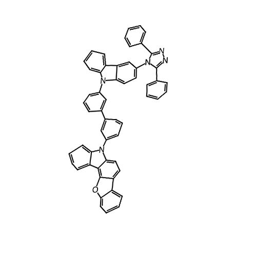 c1ccc(-c2nnc(-c3ccccc3)n2-c2ccc3c(c2)c2ccccc2n3-c2cccc(-c3cccc(-n4c5ccccc5c5c6oc7ccccc7c6ccc54)c3)c2)cc1